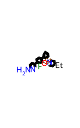 CCC1CCN([S+]([O-])c2ccccc2-c2ccc(-c3ccc(N)nc3)c(F)c2)CC1